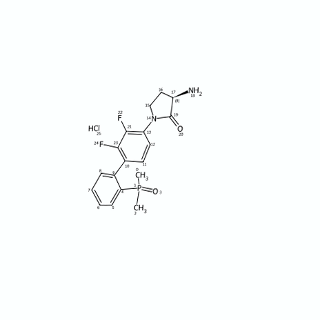 CP(C)(=O)c1ccccc1-c1ccc(N2CC[C@@H](N)C2=O)c(F)c1F.Cl